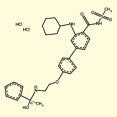 C[C@@](O)(NCCOc1ccc(-c2ccc(C(=O)NS(C)(=O)=O)c(NC3CCCCC3)c2)cc1)c1ccccc1.Cl.Cl